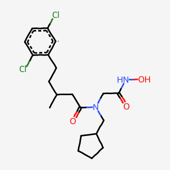 CC(CCc1[c]c(Cl)ccc1Cl)CC(=O)N(CC(=O)NO)CC1CCCC1